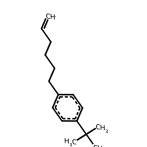 [CH]=CCCCCc1ccc(C(C)(C)C)cc1